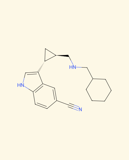 N#Cc1ccc2[nH]cc([C@@H]3C[C@H]3CNCC3CCCCC3)c2c1